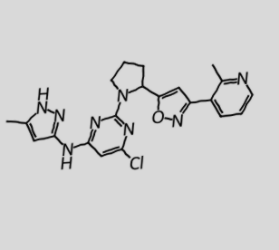 Cc1cc(Nc2cc(Cl)nc(N3CCCC3c3cc(-c4cccnc4C)no3)n2)n[nH]1